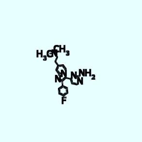 CN(C)CCc1ccn2c(-c3ccnc(N)n3)c(-c3ccc(F)cc3)nc2c1